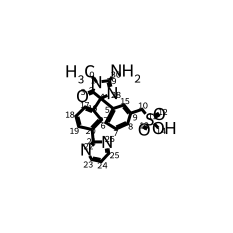 CN1C(=O)C(c2cccc(CS(=O)(=O)O)c2)(c2cccc(-c3ncccn3)c2)N=C1N